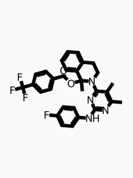 Cc1nc(Nc2ccc(F)cc2)nc(N2CCc3ccccc3C2(C)OC(=O)c2ccc(C(F)(F)F)cc2)c1C